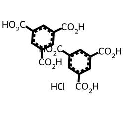 Cl.O=C(O)c1cc(C(=O)O)cc(C(=O)O)c1.O=C(O)c1cc(C(=O)O)cc(C(=O)O)c1